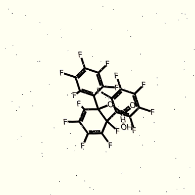 O=[PH](O)OC1(c2c(F)c(F)c(F)c(F)c2F)C(F)=C(F)C(F)=C(F)C1(F)c1c(F)c(F)c(F)c(F)c1F